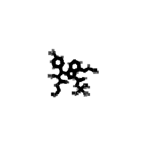 CCOC(=O)C(C)C(c1ccc(C)cc1)c1cn(C(=O)OC(C)(C)C)c2c(CSC)cccc12